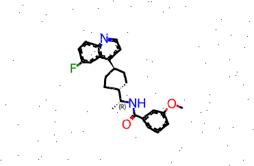 COc1cccc(C(=O)N[C@H](C)[C@H]2CC[C@H](c3ccnc4ccc(F)cc43)CC2)c1